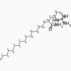 CCCCCCCCCCCCCCCCC(CC(CC)NC(=N)N)C(N)=O